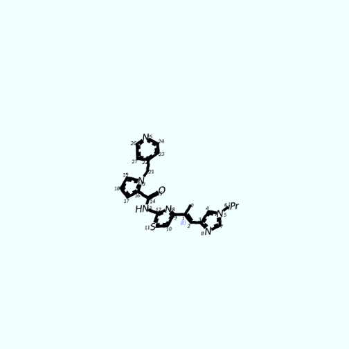 C/C(=C\c1cn(C(C)C)cn1)c1csc(NC(=O)c2cccn2Cc2ccncc2)n1